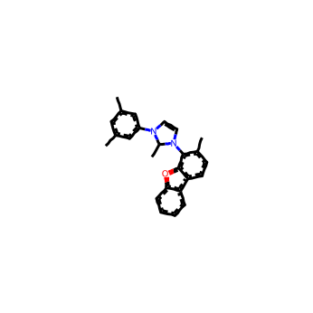 Cc1cc(C)cc(N2C=CN(c3c(C)ccc4c3oc3ccccc34)C2C)c1